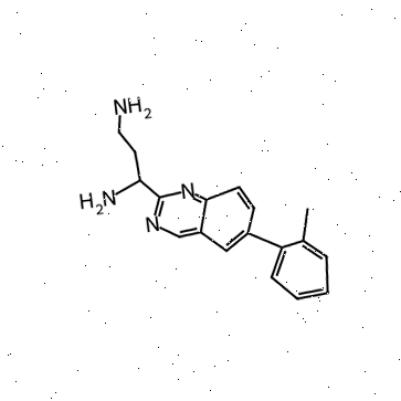 Cc1ccccc1-c1ccc2nc(C(N)CCN)ncc2c1